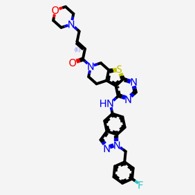 O=C(/C=C/CN1CCOCC1)N1CCc2c(sc3ncnc(Nc4ccc5c(cnn5Cc5cccc(F)c5)c4)c23)C1